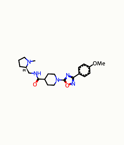 COc1ccc(-c2noc(N3CCC(C(=O)NC[C@H]4CCCN4C)CC3)n2)cc1